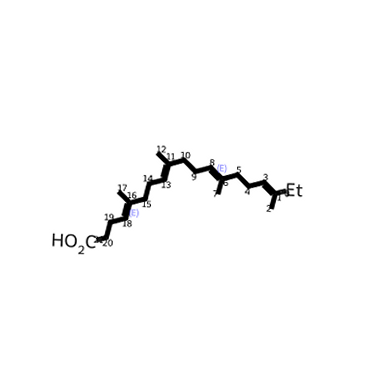 CCC(C)=CCC/C(C)=C/CCC(C)=CCC/C(C)=C/CCC(=O)O